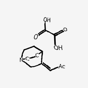 CC(=O)/C=C1/CN2CCC1CC2.O=C(O)C(=O)O